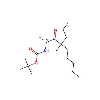 CCCCCC(C)(CCC)C(=O)[C@@H](C)NC(=O)OC(C)(C)C